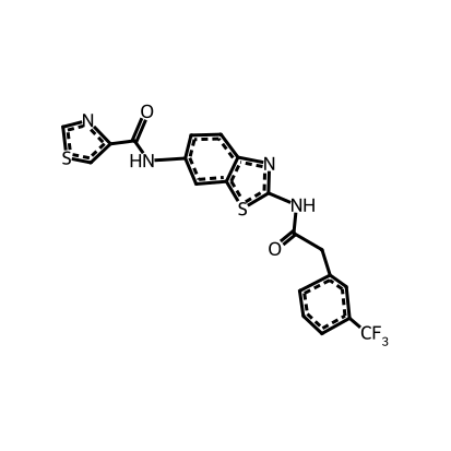 O=C(Cc1cccc(C(F)(F)F)c1)Nc1nc2ccc(NC(=O)c3cscn3)cc2s1